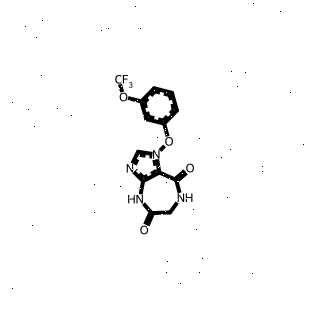 O=C1CNC(=O)c2c(ncn2Oc2cccc(OC(F)(F)F)c2)N1